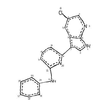 Clc1cnc2[nH]cc(-c3cccc(Nc4ccccc4)n3)c2c1